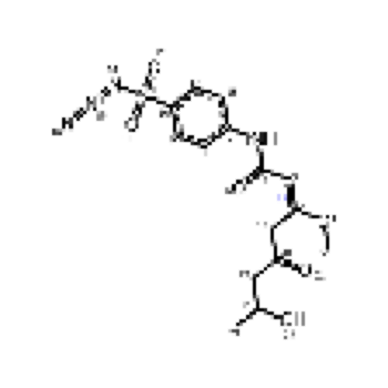 CO/C(=C/C(=O)Nc1ccc(S(=O)(=O)N=[N+]=[N-])cc1)CC(=O)CC(C)O